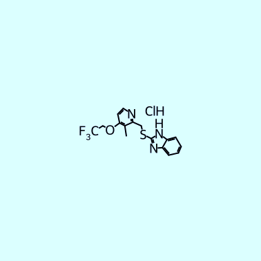 Cc1c(OCC(F)(F)F)ccnc1CSc1nc2ccccc2[nH]1.Cl